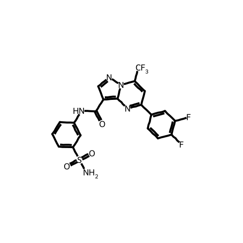 NS(=O)(=O)c1cccc(NC(=O)c2cnn3c(C(F)(F)F)cc(-c4ccc(F)c(F)c4)nc23)c1